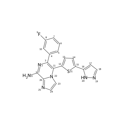 Nc1nc(-c2cccc(F)c2)c(-c2ccc(-c3ccn[nH]3)s2)n2ccnc12